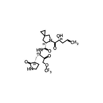 C=CC[C@@H](O)C(=O)N1CC2(CC2)C[C@H]1C(=O)N[C@@H](C[C@@H]1CCNC1=O)C(=O)COC(F)(F)F